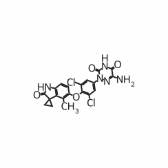 Cc1c(Oc2c(Cl)cc(-n3nc(N)c(=O)[nH]c3=O)cc2Cl)ccc2c1C1(CC1)C(=O)N2